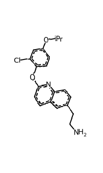 CC(C)Oc1ccc(Oc2ccc3cc(CCN)ccc3n2)c(Cl)c1